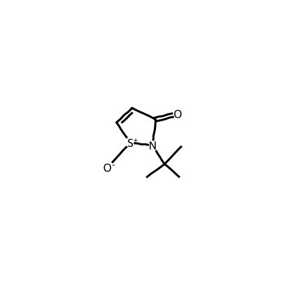 CC(C)(C)n1c(=O)cc[s+]1[O-]